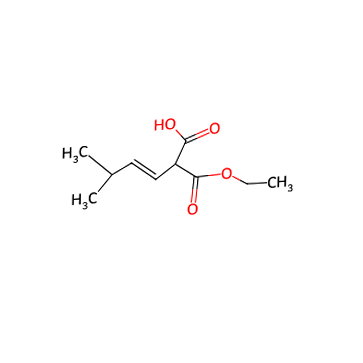 CCOC(=O)C(C=CC(C)C)C(=O)O